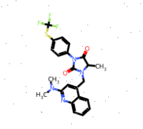 CC1C(=O)N(c2ccc(SC(F)(F)F)cc2)C(=O)N1Cc1cc(N(C)C)nc2ccccc12